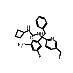 O=C(NC1CCC1)N[C@@](Cc1ccccc1)(c1cc(F)cc(C(F)(F)F)c1)c1ccc(CI)cn1